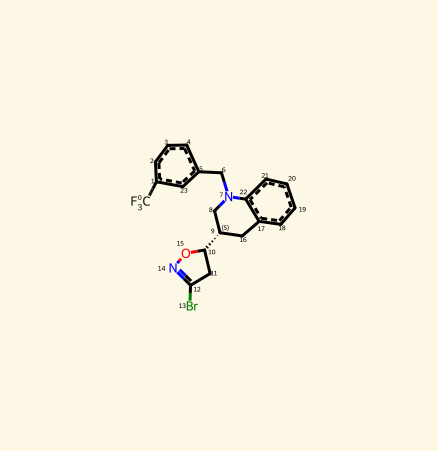 FC(F)(F)c1cccc(CN2C[C@@H](C3CC(Br)=NO3)Cc3ccccc32)c1